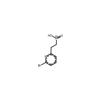 O=[PH](O)CCc1cccc(Br)n1